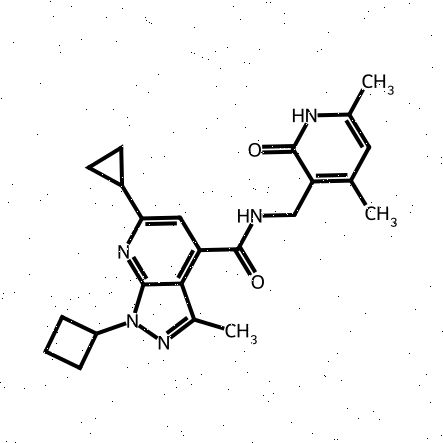 Cc1cc(C)c(CNC(=O)c2cc(C3CC3)nc3c2c(C)nn3C2CCC2)c(=O)[nH]1